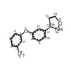 FC(F)(F)c1cccc(Oc2cccc([C@H]3CCON3)c2)c1